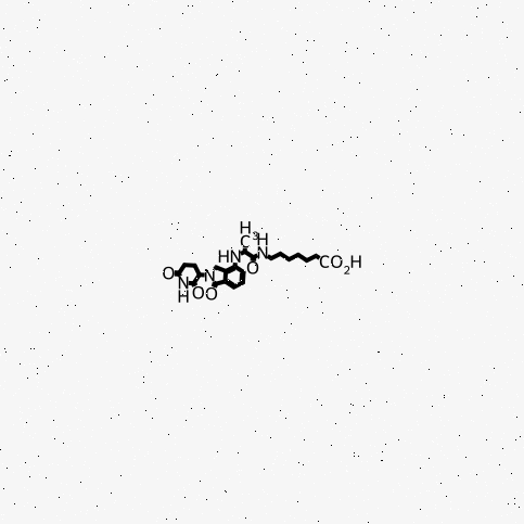 CC(Nc1cccc2c1CN(C1CCC(=O)NC1=O)C2=O)C(=O)NCCCCCCC(=O)O